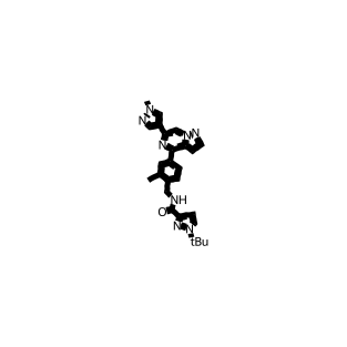 Cc1cc(-c2nc(-c3cnn(C)c3)cn3nccc23)ccc1CNC(=O)c1ccn(C(C)(C)C)n1